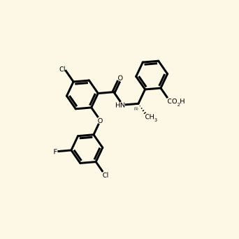 C[C@H](NC(=O)c1cc(Cl)ccc1Oc1cc(F)cc(Cl)c1)c1ccccc1C(=O)O